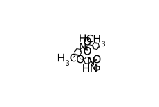 CO[C@@H](C(=O)Nc1ccc(C)c(OC2CCN(C(=O)c3ccc[nH]3)CC2)c1)c1ccccc1